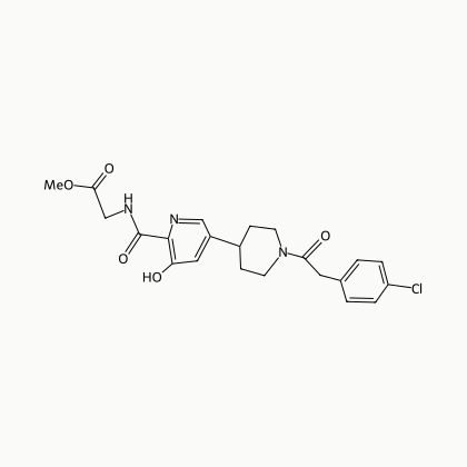 COC(=O)CNC(=O)c1ncc(C2CCN(C(=O)Cc3ccc(Cl)cc3)CC2)cc1O